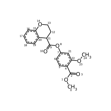 COC(=O)c1ccc(OC(=O)C2CCOc3ccccc32)cc1OC